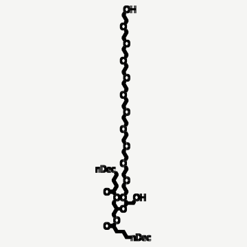 CCCCCCCCCCCCCC(=O)OCC(COC(=O)CCCCCCCCCCCCC)OC(CO)OCCOCCOCCOCCOCCOCCOCCOCCOCCOCCOCCO